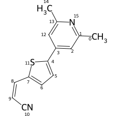 Cc1cc(-c2ccc(/C=C\C#N)s2)cc(C)n1